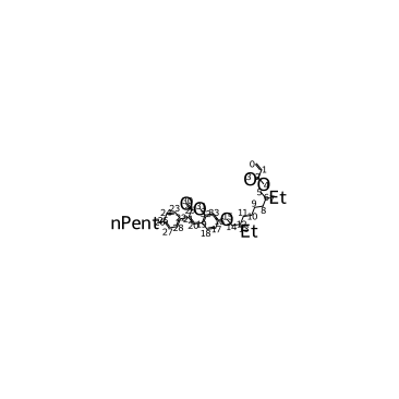 C=CC(=O)OCC(CC)CCCCC(CC)COc1ccc2cc(-c3ccc(CCCCC)cc3)c(=O)oc2c1